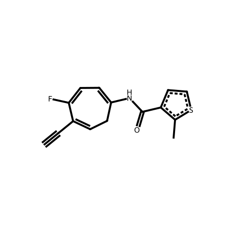 C#CC1=CCC(NC(=O)c2ccsc2C)=CC=C1F